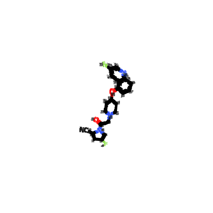 N#CC1C[C@H](F)CN1C(=O)CN1CCC(Oc2cccc3ncc(F)cc23)CC1